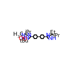 CC[C@H](c1nc(-c2ccc(-c3ccc(-c4c[nH]c([C@H](C(C)C)N(C)C(=O)OC(C)(C)C)n4)cc3)cc2)c[nH]1)C(C)C